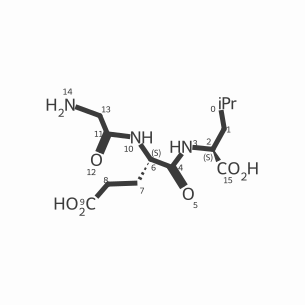 CC(C)C[C@H](NC(=O)[C@H](CCC(=O)O)NC(=O)CN)C(=O)O